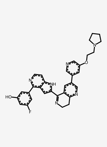 Oc1cc(F)cc(-c2nccc3[nH]c(C4=NCCc5ncc(-c6cncc(OCCN7CCCC7)c6)cc54)cc23)c1